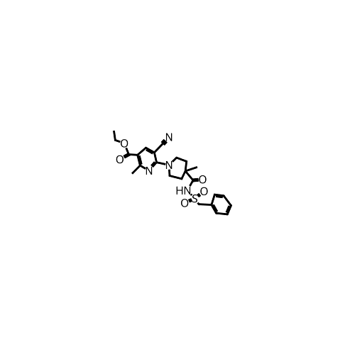 CCOC(=O)c1cc(C#N)c(N2CCC(C)(C(=O)NS(=O)(=O)Cc3ccccc3)CC2)nc1C